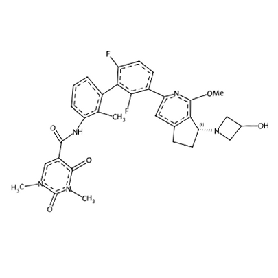 COc1nc(-c2ccc(F)c(-c3cccc(NC(=O)c4cn(C)c(=O)n(C)c4=O)c3C)c2F)cc2c1[C@H](N1CC(O)C1)CC2